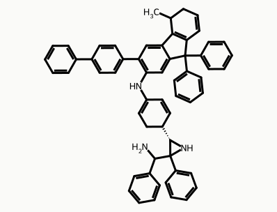 CC1CC=CC2=C1c1cc(-c3ccc(-c4ccccc4)cc3)c(NC3=CCC([C@@H]4NC4(c4ccccc4)C(N)c4ccccc4)C=C3)cc1C2(c1ccccc1)c1ccccc1